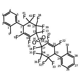 Cc1ccccc1C1C(F)=C(F)C(F)(S(=O)(=O)C2(F)C(F)=C(F)C(c3ccccc3C)C(F)(F)C2(F)F)C(F)(F)C1(F)F